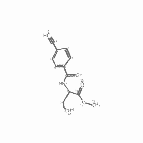 C#Cc1ccc(C(=O)NC(CO)C(=O)OC)cc1